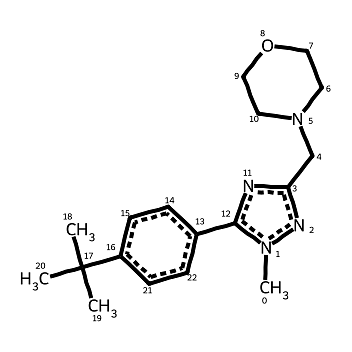 Cn1nc(CN2CCOCC2)nc1-c1ccc(C(C)(C)C)cc1